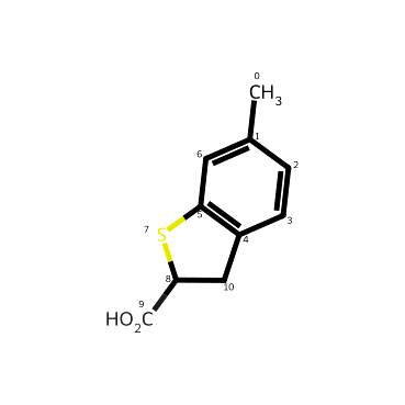 Cc1ccc2c(c1)SC(C(=O)O)C2